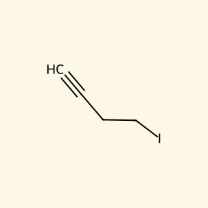 C#CCCI